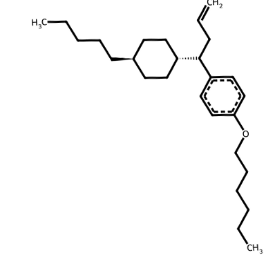 C=CCC(c1ccc(OCCCCCC)cc1)[C@H]1CC[C@H](CCCCC)CC1